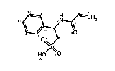 C=CC(=O)NC(CS(=O)(=O)O)c1ccccc1